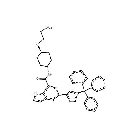 COCCO[C@H]1CC[C@H](NC(=O)c2nc(-c3cn(C(c4ccccc4)(c4ccccc4)c4ccccc4)cn3)nc3cc[nH]c23)CC1